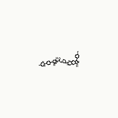 Cc1cnc(-c2ccc(N3C[C@@H]4C[C@H]3CN4C(=O)CN3CC[C@@H](c4ncc5cc6[nH]nc(-c7ccc(F)cc7)c6cc5n4)C3)cc2)nc1